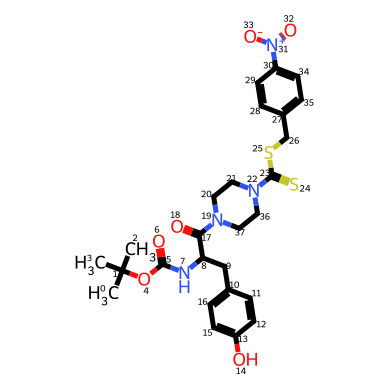 CC(C)(C)OC(=O)NC(Cc1ccc(O)cc1)C(=O)N1CCN(C(=S)SCc2ccc([N+](=O)[O-])cc2)CC1